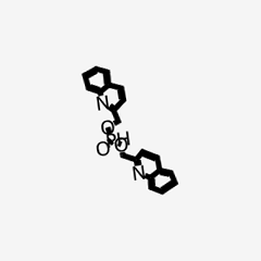 O=[PH](OCc1ccc2ccccc2n1)OCc1ccc2ccccc2n1